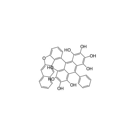 Oc1c(O)c(O)c2c(-c3cccc4oc5cc6ccccc6cc5c34)c3c(O)c(O)c(O)c(O)c3c(-c3ccccc3)c2c1O